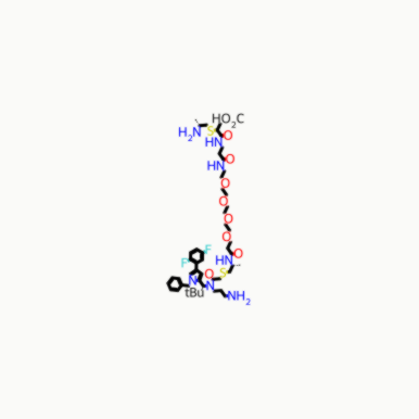 C[C@H](CSCC(=O)N(CCCN)[C@@H](c1cc(-c2cc(F)ccc2F)cn1Cc1ccccc1)C(C)(C)C)NC(=O)CCOCCOCCOCCOCCNC(=O)CCNC(=O)C(CC(=O)O)SC[C@@H](C)N